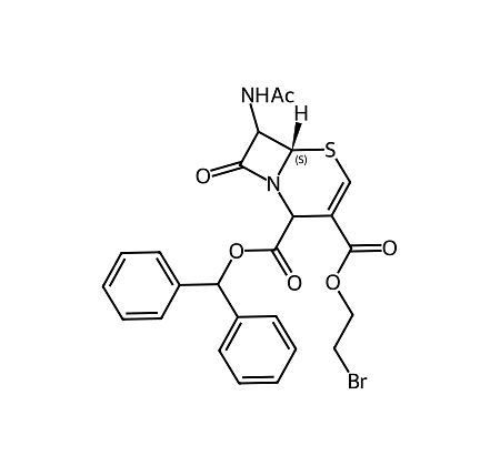 CC(=O)NC1C(=O)N2C(C(=O)OC(c3ccccc3)c3ccccc3)C(C(=O)OCCBr)=CS[C@@H]12